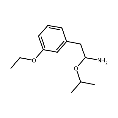 CCOc1cccc(CC(N)OC(C)C)c1